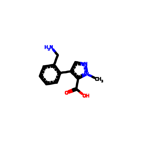 Cn1ncc(-c2ccccc2CN)c1C(=O)O